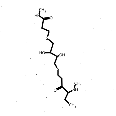 CCC(NC)C(=O)CCSCC(O)C(O)CSCCC(=O)NC